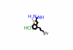 CC(C)CC=Cc1cccc2sc(C(=N)N)cc12.Cl